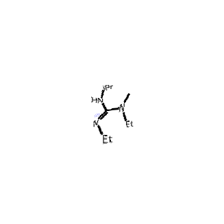 CC/N=C(/NC(C)C)N(C)CC